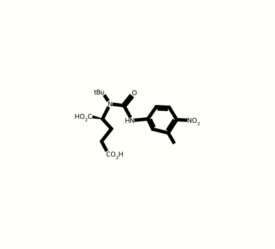 Cc1cc(NC(=O)N([C@@H](CCC(=O)O)C(=O)O)C(C)(C)C)ccc1[N+](=O)[O-]